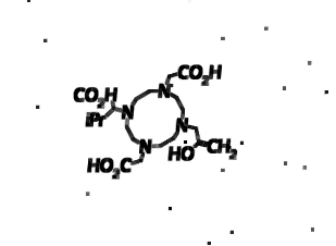 C=C(O)CN1CCN(CC(=O)O)CCN(C(C(=O)O)C(C)C)CCN(CC(=O)O)CC1